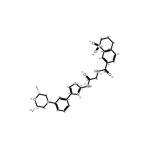 C[C@@H]1CN(c2cccc(-c3csc(NC(=O)CNC(=O)c4ccc5c(c4)S(=O)(=O)CCC5)n3)c2)C[C@H](C)O1